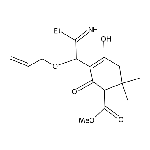 C=CCOC(C(=N)CC)C1=C(O)CC(C)(C)C(C(=O)OC)C1=O